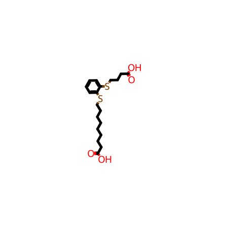 O=C(O)CCCCCCCCSc1ccccc1SCCCC(=O)O